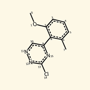 COc1cccc(C)c1-c1cnnc(Cl)n1